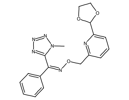 Cn1nnnc1C(=NOCc1cccc(C2OCCO2)n1)c1ccccc1